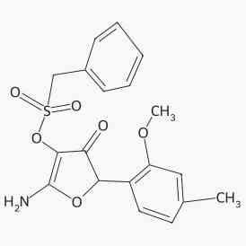 COc1cc(C)ccc1C1OC(N)=C(OS(=O)(=O)Cc2ccccc2)C1=O